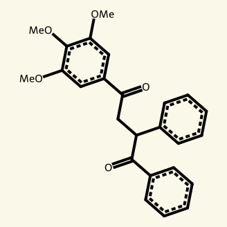 COc1cc(C(=O)CC(C(=O)c2ccccc2)c2ccccc2)cc(OC)c1OC